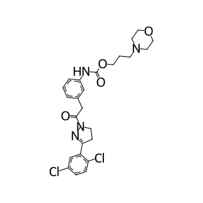 O=C(Nc1cccc(CC(=O)N2CCC(c3cc(Cl)ccc3Cl)=N2)c1)OCCCN1CCOCC1